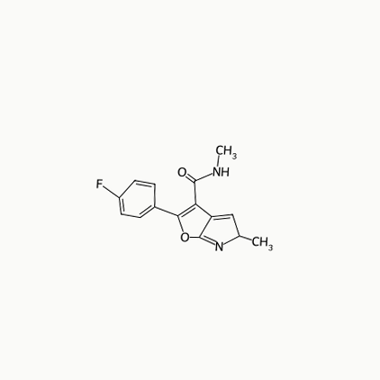 CNC(=O)c1c(-c2ccc(F)cc2)oc2c1=CC(C)N=2